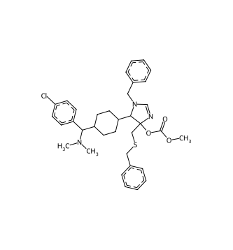 COC(=O)OC1(CSCc2ccccc2)N=CN(Cc2ccccc2)C1C1CCC(C(c2ccc(Cl)cc2)N(C)C)CC1